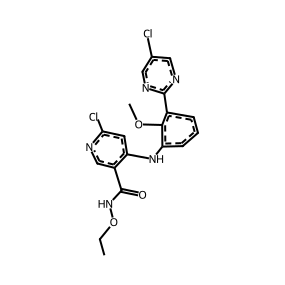 CCONC(=O)c1cnc(Cl)cc1Nc1cccc(-c2ncc(Cl)cn2)c1OC